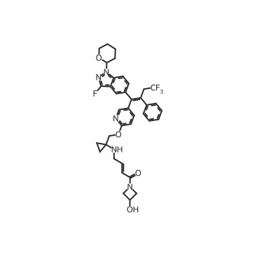 O=C(/C=C/CNC1(COc2ccc(/C(=C(/CC(F)(F)F)c3ccccc3)c3ccc4c(c3)c(F)nn4C3CCCCO3)cn2)CC1)N1CC(O)C1